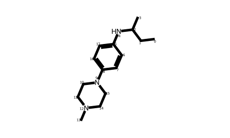 CCC(C)Nc1ccc(N2CCN(C)CC2)cc1